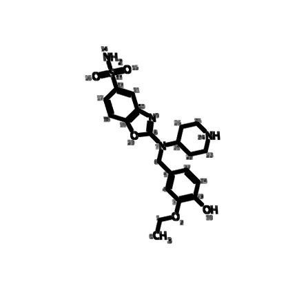 CCOc1cc(CN(c2nc3cc(S(N)(=O)=O)ccc3o2)C2CCNCC2)ccc1O